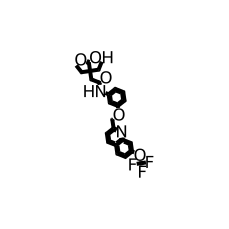 CCC(CC)(CC(=O)Nc1cccc(OCc2ccc3ccc(OC(F)(F)F)cc3n2)c1)C(=O)O